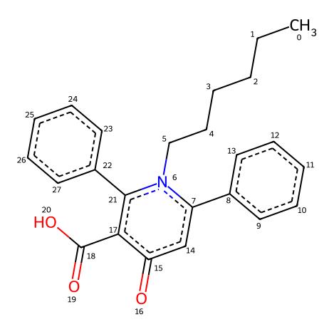 CCCCCCn1c(-c2ccccc2)cc(=O)c(C(=O)O)c1-c1ccccc1